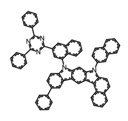 c1ccc(-c2ccc3c(c2)c2cc4c5c6ccccc6ccc5n(-c5ccc6ccccc6c5)c4cc2n3-c2cc(-c3nc(-c4ccccc4)nc(-c4ccccc4)n3)cc3ccccc23)cc1